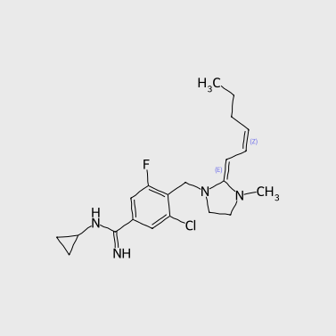 CCC/C=C\C=C1/N(C)CCN1Cc1c(F)cc(C(=N)NC2CC2)cc1Cl